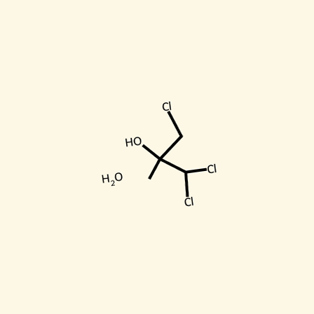 CC(O)(CCl)C(Cl)Cl.O